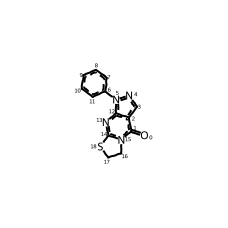 O=c1c2cnn(-c3ccccc3)c2nc2n1CCS2